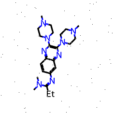 CCC(=Nc1ccc2nc(N3CCN(C)CC3)c(N3CCN(C)CC3)nc2c1)N(C)C